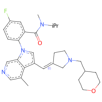 Cc1cncc2c1c(/C=C1\CCN(CC3CCOCC3)C1)cn2-c1ccc(F)cc1C(=O)N(C)C(C)C